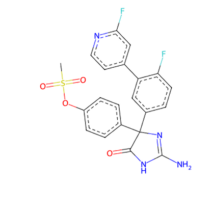 CS(=O)(=O)Oc1ccc(C2(c3ccc(F)c(-c4ccnc(F)c4)c3)N=C(N)NC2=O)cc1